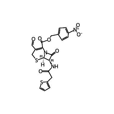 O=CC1=C(C(=O)OCc2ccc([N+](=O)[O-])cc2)N2C(=O)[C@@H](NC(=O)Cc3cccs3)[C@H]2SC1